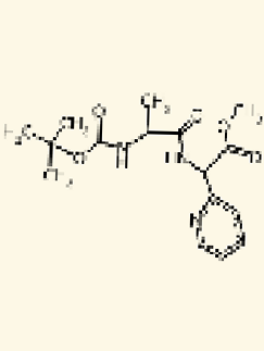 COC(=O)C(NC(=O)C(C)NC(=O)OC(C)(C)C)c1ccccn1